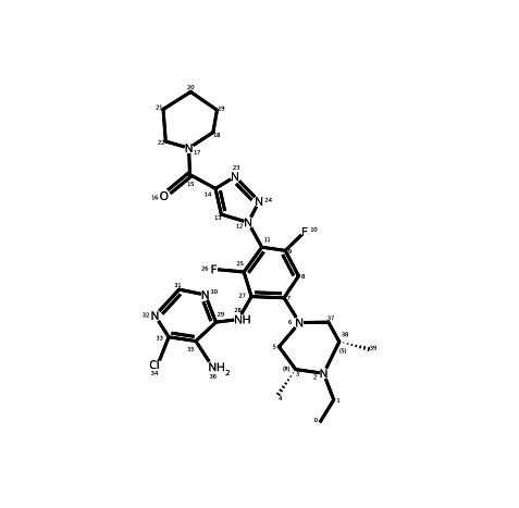 CCN1[C@H](C)CN(c2cc(F)c(-n3cc(C(=O)N4CCCCC4)nn3)c(F)c2Nc2ncnc(Cl)c2N)C[C@@H]1C